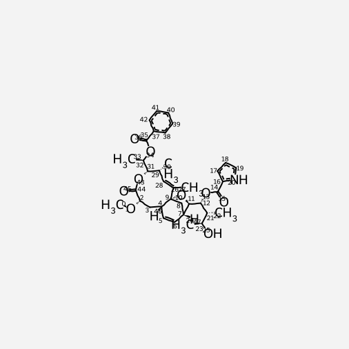 CO[C@H]1C[C@H]2C=C[C@@H]3C[C@]2(O[C@H]3[C@H](OC(=O)c2ccc[nH]2)[C@H](C)[C@H](C)O)/C(C)=C/[C@@H](C)[C@@H]([C@@H](C)OC(=O)c2ccccc2)OC1=O